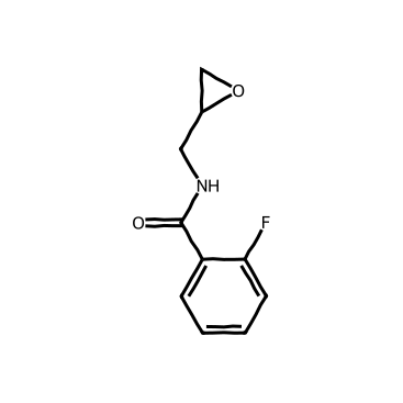 O=C(NCC1CO1)c1ccccc1F